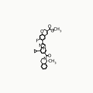 COC(=O)C1=Cc2cc(-c3cn4cc(C(=O)N5CCc6ccccc6[C@H]5C)cc(C5CC5)c4n3)c(F)cc2OC1